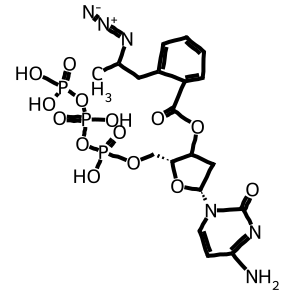 CC(Cc1ccccc1C(=O)OC1C[C@H](n2ccc(N)nc2=O)O[C@@H]1COP(=O)(O)OP(=O)(O)OP(=O)(O)O)N=[N+]=[N-]